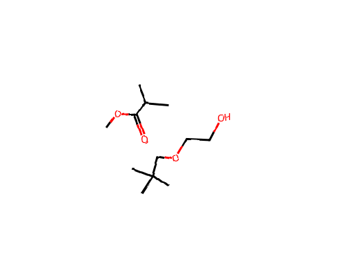 CC(C)(C)COCCO.COC(=O)C(C)C